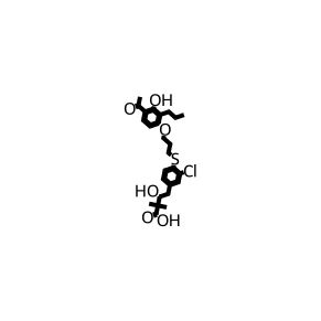 CCCc1c(OCCCSc2ccc(CC(O)C(C)(C)C(=O)O)cc2Cl)ccc(C(C)=O)c1O